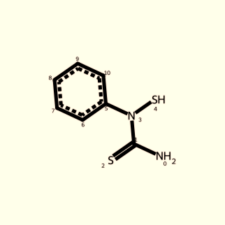 NC(=S)N(S)c1ccccc1